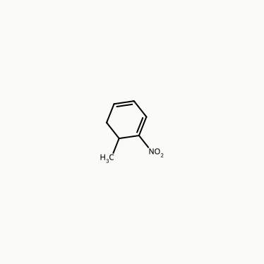 CC1CC=CC=C1[N+](=O)[O-]